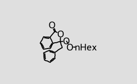 CCCCCCOOC1(Cc2ccccc2)OC(=O)c2ccccc21